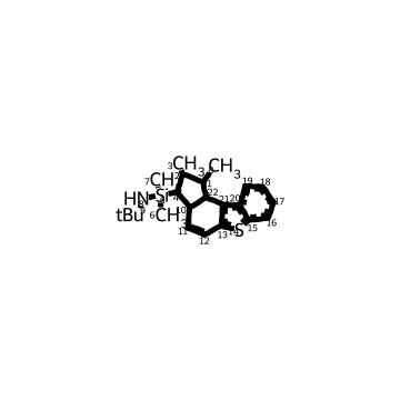 CC1C(C)C([Si](C)(C)NC(C)(C)C)C2C=Cc3sc4ccccc4c3C12